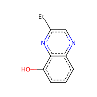 CCc1cnc2cccc(O)c2n1